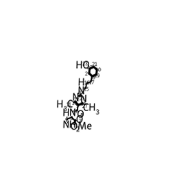 COC(=O)C(CN)NC(=O)c1c(C)nc(NCCCc2cccc(O)c2)nc1C